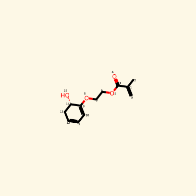 C=C(C)C(=O)OCCOC1=CC=CC[C@@H]1O